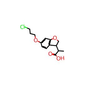 CC(C(=O)O)C1COc2cc(OCCCCl)ccc21